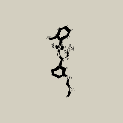 COCOc1cccc([C@@H](CO)OS(=O)(=O)c2ccccc2C)c1